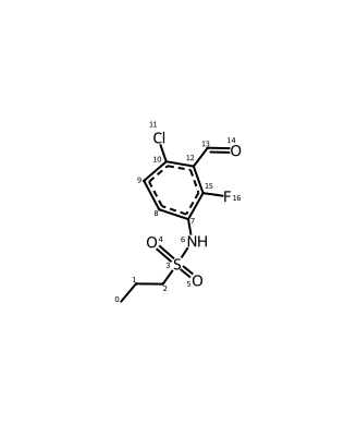 CCCS(=O)(=O)Nc1ccc(Cl)c(C=O)c1F